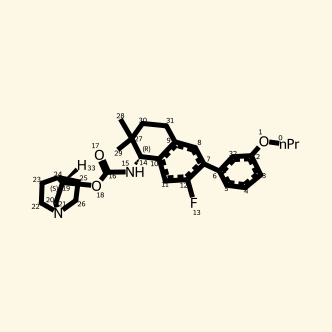 CCCOc1cccc(-c2cc3c(cc2F)[C@H](NC(=O)O[C@@H]2CN4CCC2CC4)C(C)(C)CC3)c1